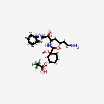 COC1(C(=O)NC(CCCCN)C(=O)c2nc3ccccc3s2)CCCCC1.O=C(O)C(F)(F)F